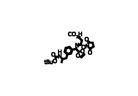 CC(Cc1cccc(C(N=C(CCC(=O)O)ON2C(=O)CCC2=O)C2OC=CO2)c1)NC(=O)OC(C)(C)C